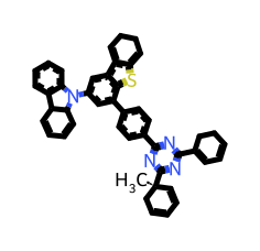 C[C@]1(c2nc(C3=CC=CCC3)nc(-c3ccc(-c4cc(N5c6ccccc6C6C=CC=CC65)cc5c6c(sc45)=CCCC=6)cc3)n2)C=CC=CC1